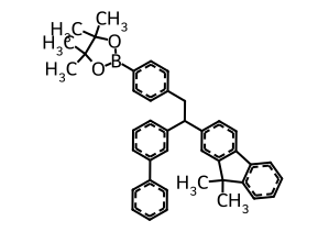 CC1(C)c2ccccc2-c2ccc(C(Cc3ccc(B4OC(C)(C)C(C)(C)O4)cc3)c3cccc(-c4ccccc4)c3)cc21